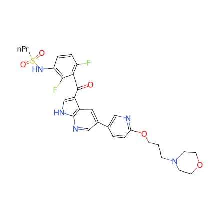 CCCS(=O)(=O)Nc1ccc(F)c(C(=O)c2c[nH]c3ncc(-c4ccc(OCCCN5CCOCC5)nc4)cc23)c1F